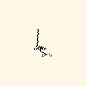 CCCCCCCCCCCP(=O)(O)CC(CCC(N)=O)C(=O)O